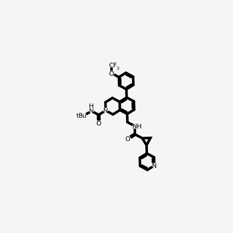 CC(C)(C)NC(=O)N1CCc2c(-c3cccc(OC(F)(F)F)c3)ccc(CNC(=O)C3CC3c3cccnc3)c2C1